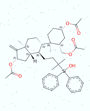 C=C1[C@@H](OC(C)=O)C[C@H]2[C@H](CCC(C)(C)[Si](O)(c3ccccc3)c3ccccc3)[C@@H]([C@@]3(C)CC[C@H](OC(C)=O)C[C@@H]3COC(C)=O)CC[C@]12C